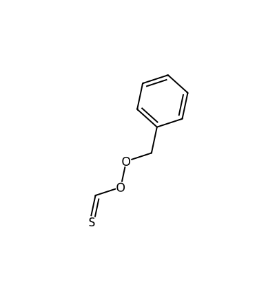 S=COOCc1ccccc1